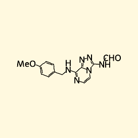 COc1ccc(CNc2nccn3c(NC=O)nnc23)cc1